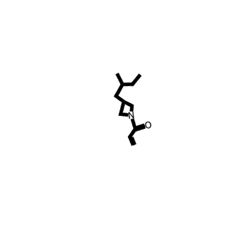 C=CC(=O)N1CC(CC(C)CC)C1